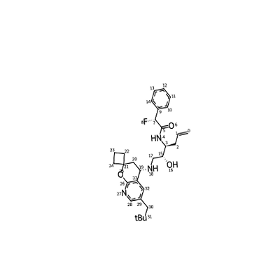 C=CC[C@H](NC(=O)[C@H](F)c1ccccc1)[C@H](O)CN[C@H]1CC2(CCC2)Oc2ncc(CC(C)(C)C)cc21